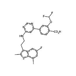 Cc1sc2c(C)cc(F)cc2c1CCNc1cc(-c2ccc(C(=O)O)c(OC(F)F)c2)ncn1